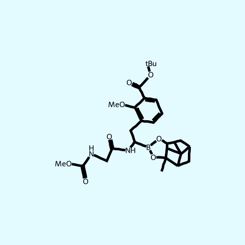 COC(=O)NCC(=O)NC(Cc1cccc(C(=O)OC(C)(C)C)c1OC)B1OC2CC3CC(C3(C)C)C2(C)O1